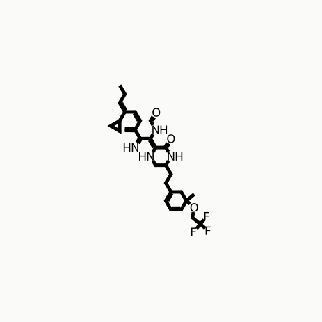 C=C(/C=C\C(=C/CC)C1CC1)C(=N)/C(NC=O)=C1\NCC(CCC2=CC=CC(C)(OCC(F)(F)F)C2)NC1=O